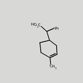 CCCC(C(=O)O)C1CC=C(C)CC1